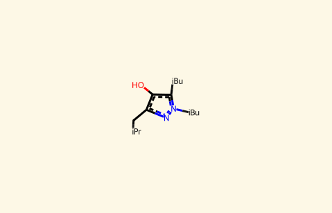 CCC(C)c1c(O)c(CC(C)C)nn1C(C)CC